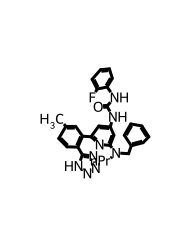 CCCN(Cc1ccccc1)c1cc(NC(=O)Nc2ccccc2F)cc(-c2cc(C)ccc2-c2nnn[nH]2)n1